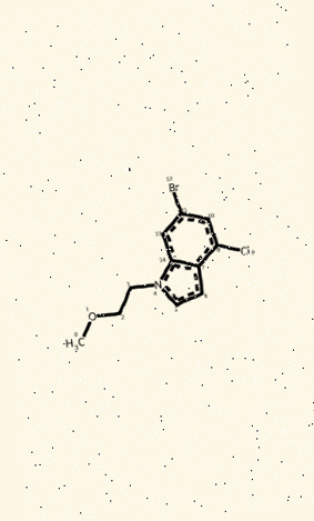 COCCn1ccc2c(Cl)cc(Br)cc21